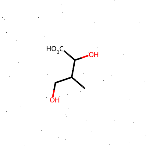 CC(CO)C(O)C(=O)O